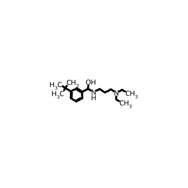 CCN(CC)CCCNC(O)c1cccc(C(C)(C)C)c1